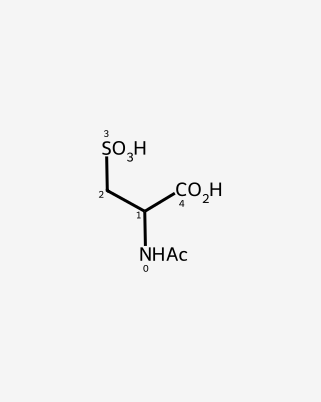 CC(=O)NC(CS(=O)(=O)O)C(=O)O